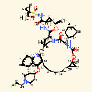 C=C[C@@H]1C[C@]1(NC(=O)[C@@H]1C[C@@H]2CN1C(=O)[C@H](C1CCCCC1)NC(=O)O[C@@H]1CC1CCCCCc1c(nc3ccccc3c1OC1CCN(CCF)CC1)O2)C(=O)NS(=O)(=O)C1(C)CC1